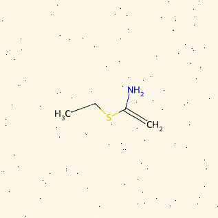 C=C(N)SCC